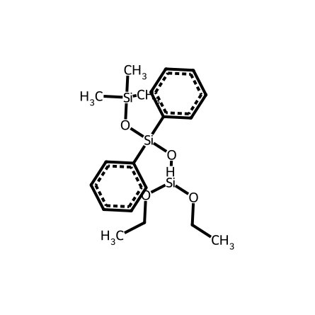 CCO[SiH](OCC)O[Si](O[Si](C)(C)C)(c1ccccc1)c1ccccc1